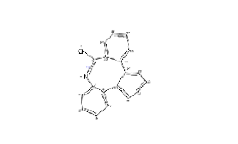 Cl/C1=N/c2ccccc2-c2ccccc2-c2ccccc21